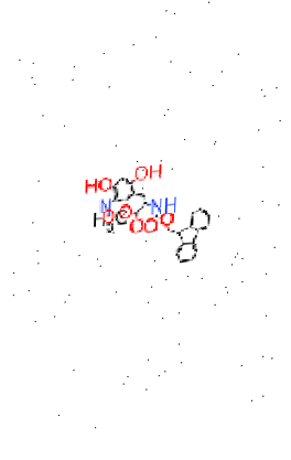 COC(=O)[C@H](Cc1cc(N=O)c(O)cc1O)NC(=O)OCC1c2ccccc2-c2ccccc21